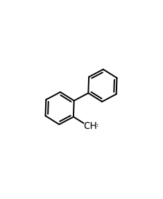 [CH]c1ccccc1-c1ccccc1